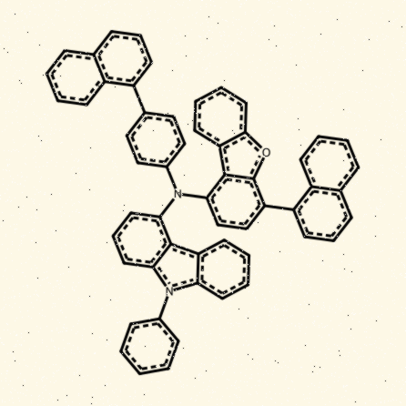 c1ccc(-n2c3ccccc3c3c(N(c4ccc(-c5cccc6ccccc56)cc4)c4ccc(-c5cccc6ccccc56)c5oc6ccccc6c45)cccc32)cc1